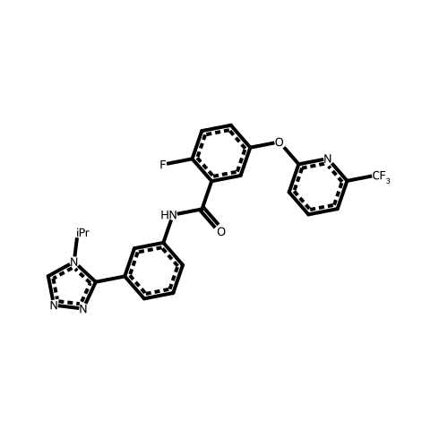 CC(C)n1cnnc1-c1cccc(NC(=O)c2cc(Oc3cccc(C(F)(F)F)n3)ccc2F)c1